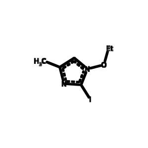 CCOn1cc(C)nc1I